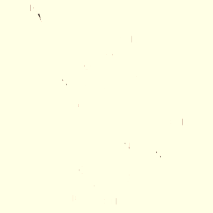 COc1c(F)cc(-c2c(C)nc3sc(C(C)(C)O)cn23)cc1S(=O)(=O)N[C@H]1CC[C@H](O)CC1